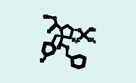 CC(C)(C)OC(=O)N1C[C@H](O[Si](C)(C)C(C)(C)C)C[C@@]1(Cc1ccc(Br)cc1)C(=O)OCc1ccccc1